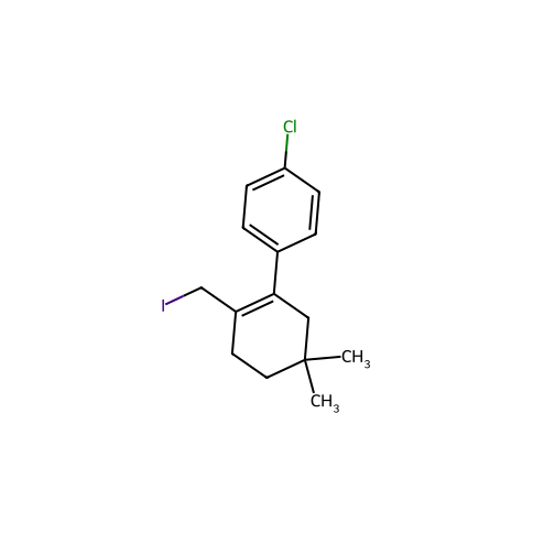 CC1(C)CCC(CI)=C(c2ccc(Cl)cc2)C1